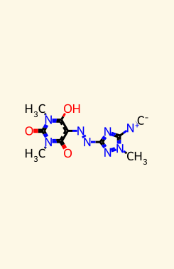 [C-]#[N+]c1nc(N=Nc2c(O)n(C)c(=O)n(C)c2=O)nn1C